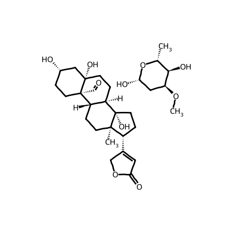 CO[C@H]1C[C@H](O)O[C@H](C)[C@H]1O.C[C@]12CC[C@H]3[C@@H](CC[C@]4(O)C[C@@H](O)CC[C@]34C=O)[C@@]1(O)CC[C@@H]2C1=CC(=O)OC1